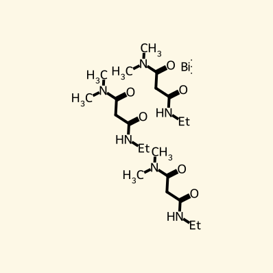 CCNC(=O)CC(=O)N(C)C.CCNC(=O)CC(=O)N(C)C.CCNC(=O)CC(=O)N(C)C.[Bi]